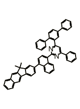 CC1(C)c2cc(-c3ccc(-c4nc(-c5ccccc5)cc(-c5cc(-c6ccccc6)ccc5-c5ccccc5)n4)c4ccccc34)ccc2-c2cc3ccccc3cc21